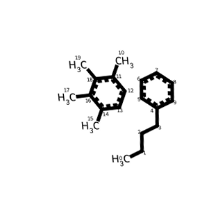 CCCCc1ccccc1.Cc1ccc(C)c(C)c1C